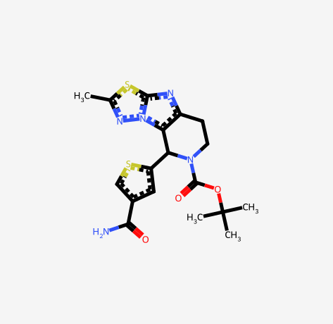 Cc1nn2c3c(nc2s1)CCN(C(=O)OC(C)(C)C)C3c1cc(C(N)=O)cs1